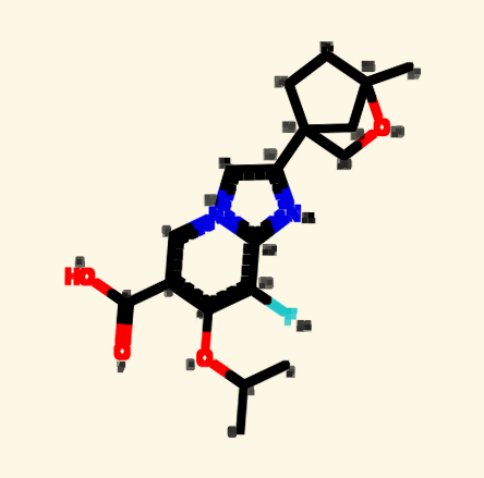 CC(C)Oc1c(C(=O)O)cn2cc(C34CCC(C)(C3)OC4)nc2c1F